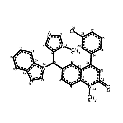 Cn1cncc1C(c1ccc2c(c1)c(-c1cccc(Cl)c1)cc(=O)n2C)n1cnc2ccccc21